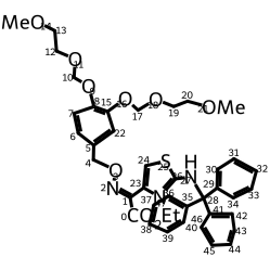 CCOC(=O)C(=NOCc1ccc(OCOCCOC)c(OCOCCOC)c1)c1csc(NC(c2ccccc2)(c2ccccc2)c2ccccc2)n1